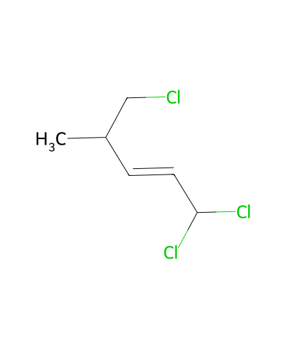 CC(C=CC(Cl)Cl)CCl